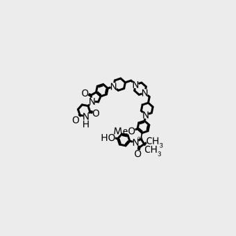 COc1cc(N2CCC(CN3CCN(CC4CCN(c5ccc6c(c5)CN(C5CCC(=O)NC5=O)C6=O)CC4)CC3)CC2)ccc1[C@@H]1N(c2ccc(O)cc2)C(=O)C1(C)C